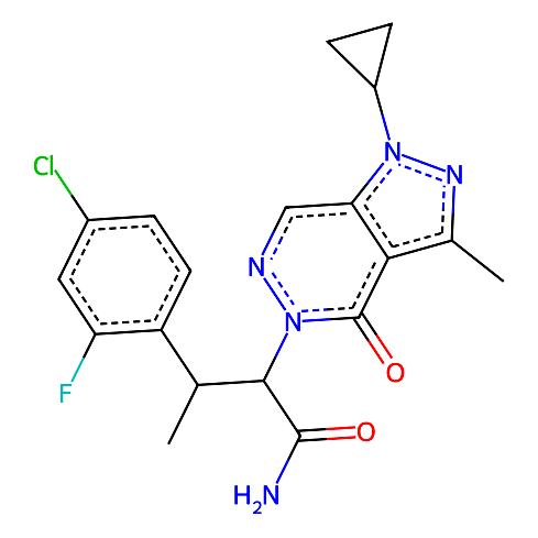 Cc1nn(C2CC2)c2cnn(C(C(N)=O)C(C)c3ccc(Cl)cc3F)c(=O)c12